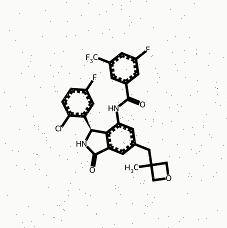 CC1(Cc2cc(NC(=O)c3cc(F)cc(C(F)(F)F)c3)c3c(c2)C(=O)N[C@H]3c2cc(F)ccc2Cl)COC1